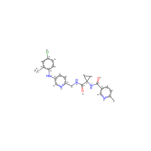 Cc1ccc(C(=O)NC2(C(=O)NCc3ccc(Nc4ccc(Cl)cc4C(F)(F)F)cn3)CC2)cn1